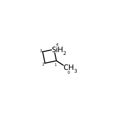 CC1CC[SiH2]1